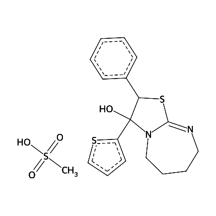 CS(=O)(=O)O.OC1(c2cccs2)C(c2ccccc2)SC2=NCCCCN21